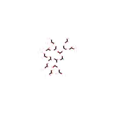 CC(COC(COC(COCC(O)CO)COCC(O)CO)COC(COCC(O)CO)COCC(O)CO)COC(COC(COCC(O)CO)COCC(O)CO)COC(COCC(O)CO)COCC(O)CO